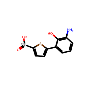 Nc1cccc(-c2ccc([12C](=O)O)s2)c1O